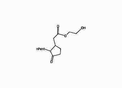 CCCCCC1C(=O)CCC1CC(=O)OCCO